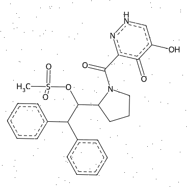 CS(=O)(=O)OC(C(c1ccccc1)c1ccccc1)C1CCCN1C(=O)c1n[nH]cc(O)c1=O